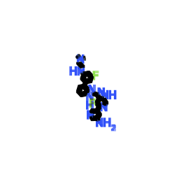 CN(C)CCNc1cc(F)cc(-c2cccc3[nH]c(-c4n[nH]c5cnc(-c6cncc(N)c6)c(F)c45)nc23)c1